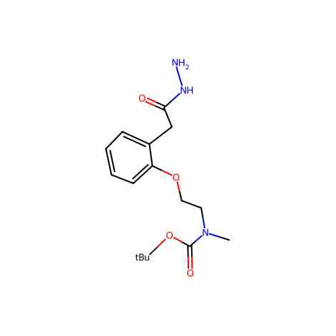 CN(CCOc1ccccc1CC(=O)NN)C(=O)OC(C)(C)C